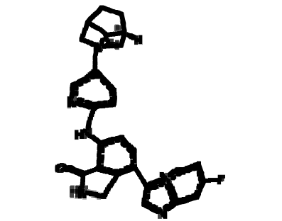 O=C1NCc2c(-c3cnc4cc(F)ccn34)ccc(Nc3ccc(N4CC5CC[C@H](C4)C5O)cn3)c21